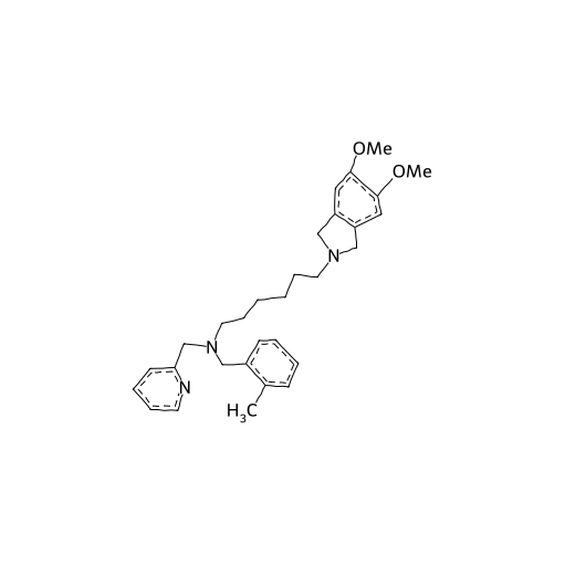 COc1cc2c(cc1OC)CN(CCCCCCN(Cc1ccccn1)Cc1ccccc1C)C2